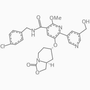 COc1nc(-c2cncc(CO)c2)c(O[C@H]2CCN3C(=O)OC[C@@H]3C2)cc1C(=O)NCc1ccc(Cl)cc1